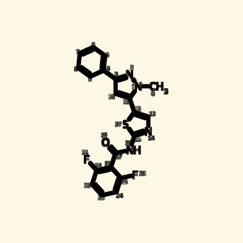 Cn1nc(-c2ccccc2)cc1-c1cnc(NC(=O)c2c(F)cccc2F)s1